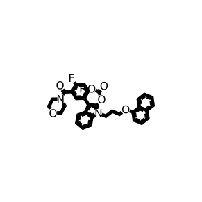 O=C(O)Oc1c(-c2ccc(F)c(C(=O)N3CCOCC3)c2)c2ccccc2n1CCCOc1cccc2ccccc12